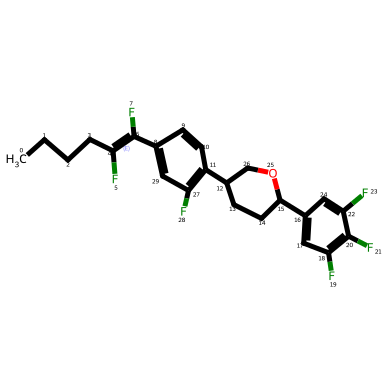 CCCC/C(F)=C(\F)c1ccc(C2CCC(c3cc(F)c(F)c(F)c3)OC2)c(F)c1